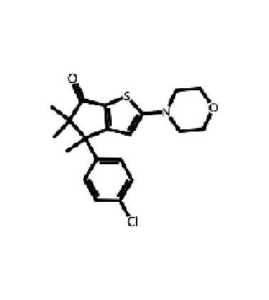 CC1(C)C(=O)c2sc(N3CCOCC3)cc2C1(C)c1ccc(Cl)cc1